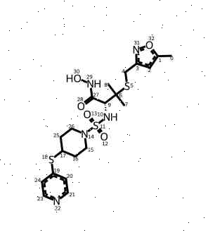 Cc1cc(CSC(C)(C)[C@H](NS(=O)(=O)N2CCC(Sc3ccncc3)CC2)C(=O)NO)no1